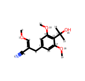 COC=C(C#N)Cc1cc(OC)c(C(C)(C)O)c(OC)c1